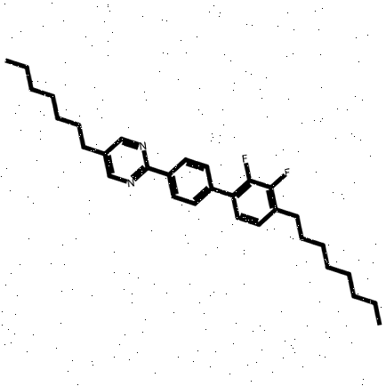 CCCCCCCCc1ccc(-c2ccc(-c3ncc(CCCCCCC)cn3)cc2)c(F)c1F